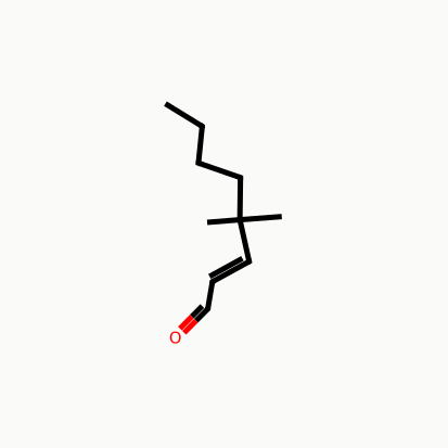 CCCCC(C)(C)/C=C/C=O